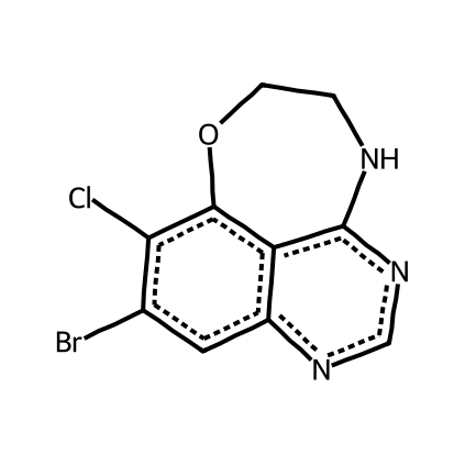 Clc1c(Br)cc2ncnc3c2c1OCCN3